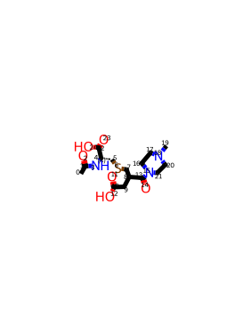 CC(=O)N[C@@H](CSCC(CC(=O)O)C(=O)N1CCN(C)CC1)C(=O)O